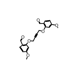 COc1ccc(C=O)c(OCC#CCOc2cc(OC)ccc2C=O)c1